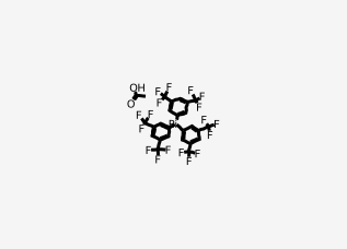 CC(=O)O.FC(F)(F)c1c[c]([Bi]([c]2cc(C(F)(F)F)cc(C(F)(F)F)c2)[c]2cc(C(F)(F)F)cc(C(F)(F)F)c2)cc(C(F)(F)F)c1